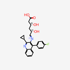 O=C(O)C[C@H](O)C[C@H](O)/C=N/c1c(C2CC2)nc2ccccc2c1-c1ccc(F)cc1